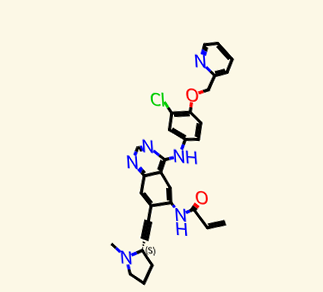 C=CC(=O)Nc1cc2c(Nc3ccc(OCc4ccccn4)c(Cl)c3)ncnc2cc1C#C[C@@H]1CCCN1C